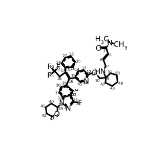 CN(C)C(=O)/C=C/CNC1(COc2ccc(/C(=C(/CC(F)(F)F)c3ccccc3)c3ccc4c(c3)c(F)nn4C3CCCCO3)cn2)CCCCC1